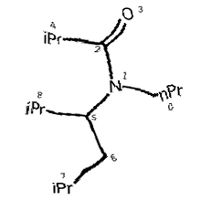 CCCN(C(=O)C(C)C)C(CC(C)C)C(C)C